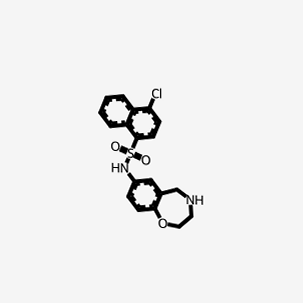 O=S(=O)(Nc1ccc2c(c1)CNCCO2)c1ccc(Cl)c2ccccc12